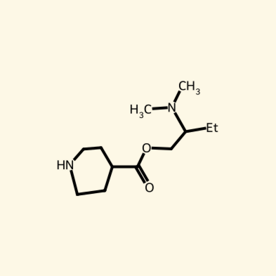 CCC(COC(=O)C1CCNCC1)N(C)C